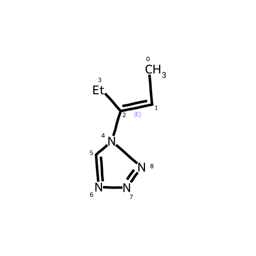 C/C=C(\CC)n1cnnn1